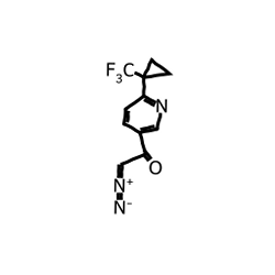 [N-]=[N+]=CC(=O)c1ccc(C2(C(F)(F)F)CC2)nc1